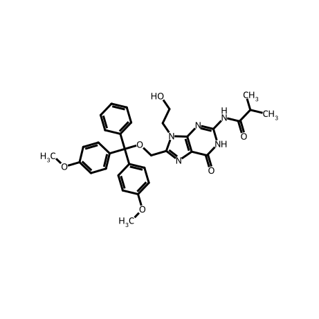 COc1ccc(C(OCc2nc3c(=O)[nH]c(NC(=O)C(C)C)nc3n2CCO)(c2ccccc2)c2ccc(OC)cc2)cc1